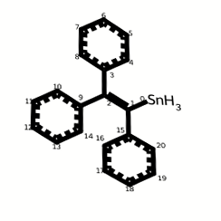 [SnH3][C](=C(c1ccccc1)c1ccccc1)c1ccccc1